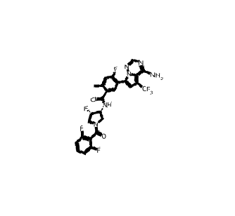 Cc1cc(F)c(-c2cc(C(F)(F)F)c3c(N)ncnn23)cc1C(=O)N[C@@H]1CN(C(=O)c2c(F)cccc2F)C[C@@H]1F